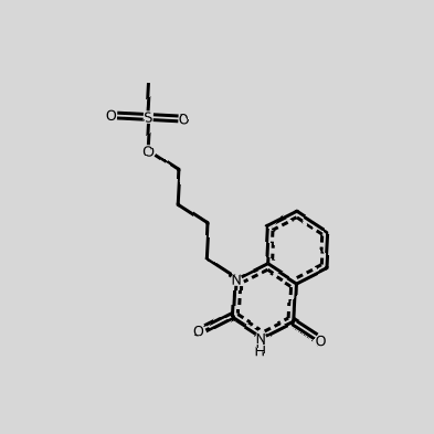 CS(=O)(=O)OCCCCn1c(=O)[nH]c(=O)c2ccccc21